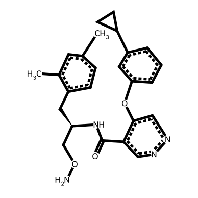 Cc1ccc(C[C@H](CON)NC(=O)c2cnncc2Oc2cccc(C3CC3)c2)c(C)c1